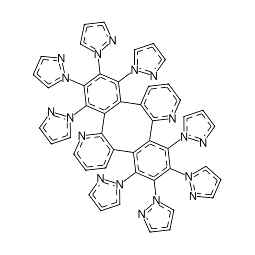 c1cnc2c(c1)-c1c(c(-n3cccn3)c(-n3cccn3)c(-n3cccn3)c1-n1cccn1)-c1ncccc1-c1c-2c(-n2cccn2)c(-n2cccn2)c(-n2cccn2)c1-n1cccn1